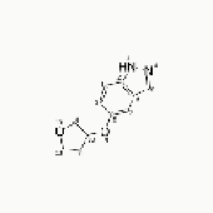 c1cc2[nH]ncc2cc1OC1CCOC1